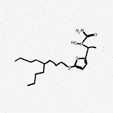 CCCCC(CCCC)CCCSc1ccc(C(C)N(O)C(N)=O)s1